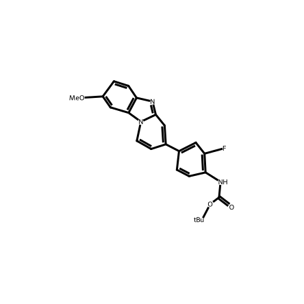 COc1ccc2nc3cc(-c4ccc(NC(=O)OC(C)(C)C)c(F)c4)ccn3c2c1